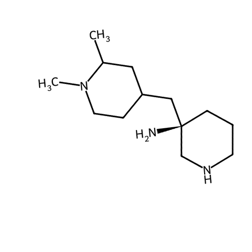 CC1CC(C[C@]2(N)CCCNC2)CCN1C